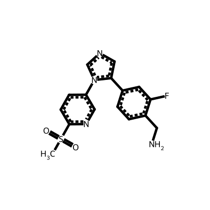 CS(=O)(=O)c1ccc(-n2cncc2-c2ccc(CN)c(F)c2)cn1